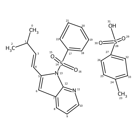 CC(C)C=Cc1cc2cccnc2n1S(=O)(=O)c1ccccc1.Cc1ccc(S(=O)(=O)O)cc1